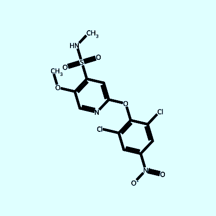 CNS(=O)(=O)c1cc(Oc2c(Cl)cc([N+](=O)[O-])cc2Cl)ncc1OC